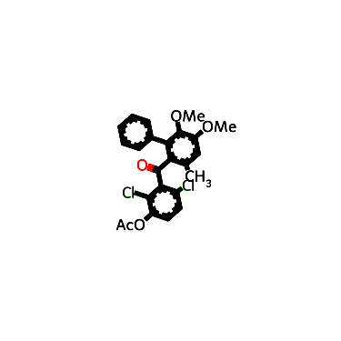 COc1cc(C)c(C(=O)c2c(Cl)ccc(OC(C)=O)c2Cl)c(-c2ccccc2)c1OC